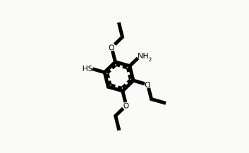 CCOc1cc(S)c(OCC)c(N)c1OCC